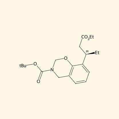 CCOC(=O)C[C@@H](CC)c1cccc2c1OCN(C(=O)OC(C)(C)C)C2